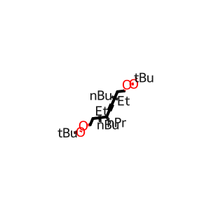 CCCCC(C#CC(CCC)C(CC)(CCCC)CCOOC(C)(C)C)(CC)CCOOC(C)(C)C